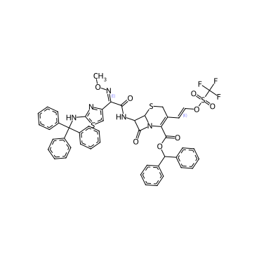 CO/N=C(/C(=O)NC1C(=O)N2C(C(=O)OC(c3ccccc3)c3ccccc3)=C(/C=C/OS(=O)(=O)C(F)(F)F)CSC12)c1csc(NC(c2ccccc2)(c2ccccc2)c2ccccc2)n1